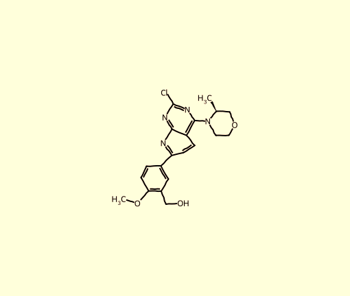 COc1ccc(-c2ccc3c(N4CCOC[C@@H]4C)nc(Cl)nc3n2)cc1CO